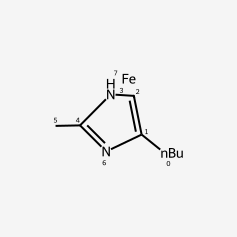 CCCCc1c[nH]c(C)n1.[Fe]